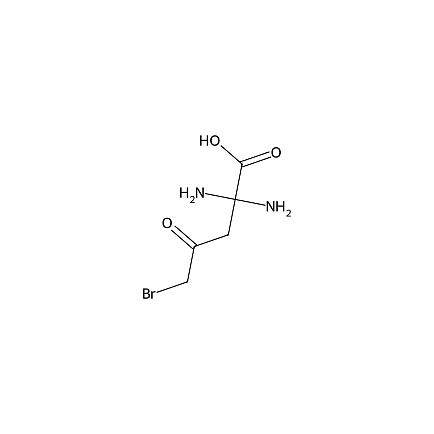 NC(N)(CC(=O)CBr)C(=O)O